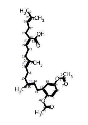 CC(=O)Oc1ccc(OC(C)=O)c(C/C=C(\C)CC/C=C(\C)CC/C=C(/CCC=C(C)C)C(=O)O)c1